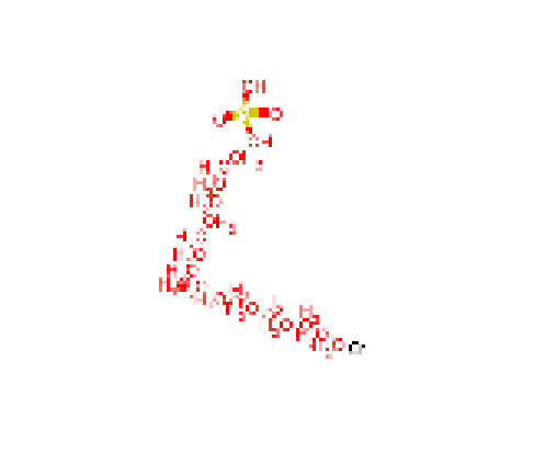 O.O.O.O.O.O.O.O.O.O.O.O.O.O.O.O.O.O.O=S(=O)(O)O.[Cr]